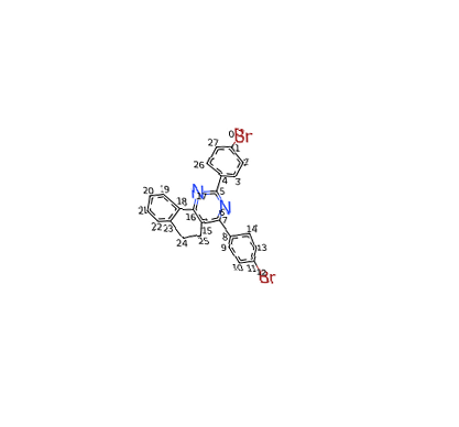 Brc1ccc(-c2nc(-c3ccc(Br)cc3)c3c(n2)-c2ccccc2CC3)cc1